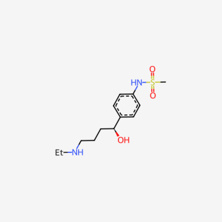 CCNCCC[C@H](O)c1ccc(NS(C)(=O)=O)cc1